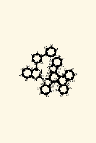 c1ccc(-c2cccc(-c3nc(-n4c5ccccc5c5c6c7ccccc7c7ccccc7c6c6c7ccccc7sc6c54)nc4ccccc34)c2)cc1